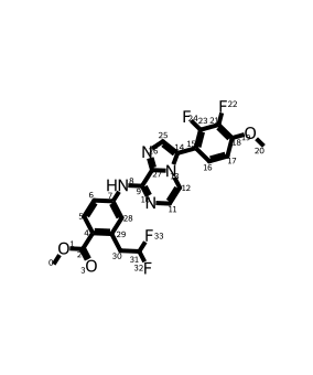 COC(=O)c1ccc(Nc2nccn3c(-c4ccc(OC)c(F)c4F)cnc23)cc1CC(F)F